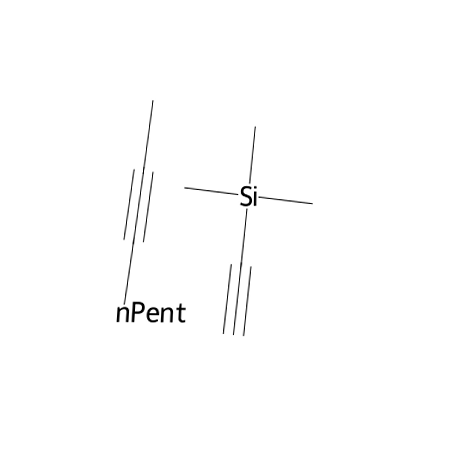 C#C[Si](C)(C)C.CC#CCCCCC